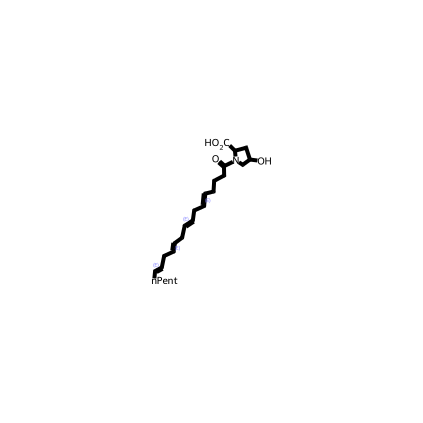 CCCCC/C=C/C/C=C/C/C=C/C/C=C/CCCC(=O)N1CC(O)CC1C(=O)O